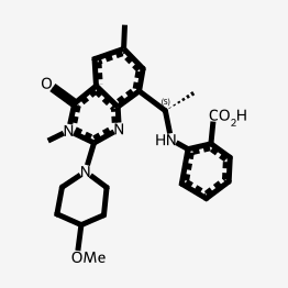 COC1CCN(c2nc3c([C@H](C)Nc4ccccc4C(=O)O)cc(C)cc3c(=O)n2C)CC1